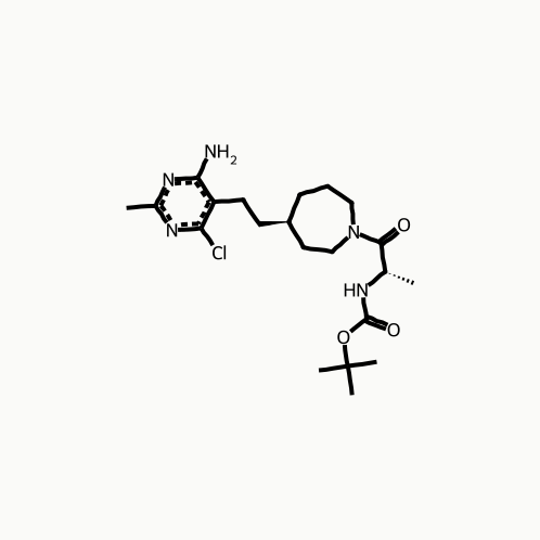 Cc1nc(N)c(CC[C@H]2CCCN(C(=O)[C@H](C)NC(=O)OC(C)(C)C)CC2)c(Cl)n1